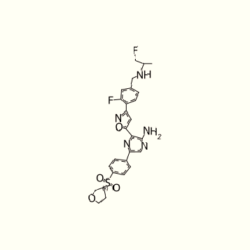 CC(CF)NCc1ccc(-c2cc(-c3nc(-c4ccc(S(=O)(=O)[C@@H]5CCOC5)cc4)cnc3N)on2)c(F)c1